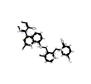 C/C=C(Cl)\C(=N/C)c1cc(C)nc2c(OCc3c(C)ccnc3Cn3cc(F)ccc3=O)cccc12